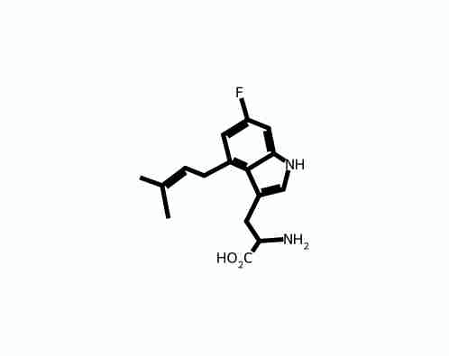 CC(C)=CCc1cc(F)cc2[nH]cc(CC(N)C(=O)O)c12